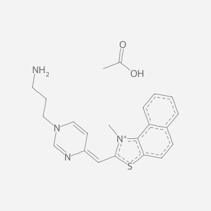 CC(=O)O.C[n+]1c(C=C2C=CN(CCCN)C=N2)sc2ccc3ccccc3c21